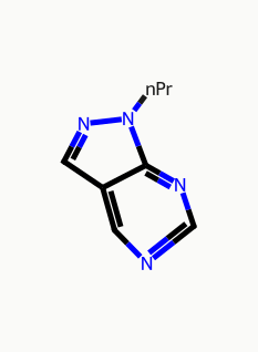 CCCn1ncc2cncnc21